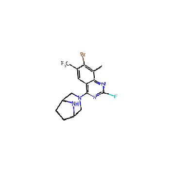 Cc1c(Br)c(C(F)(F)F)cc2c(N3CC4CCC(C3)N4)nc(F)nc12